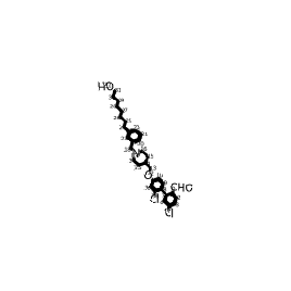 O=Cc1ccc(Cl)cc1-c1ccc(OCC2CCN(Cc3cccc(CCCCCCCCO)c3)CC2)cc1Cl